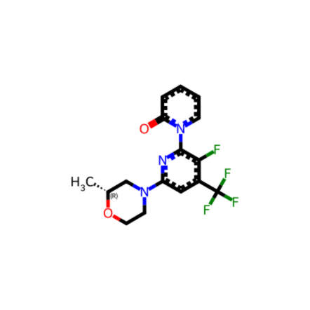 C[C@@H]1CN(c2cc(C(F)(F)F)c(F)c(-n3ccccc3=O)n2)CCO1